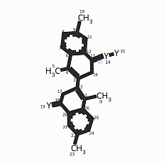 CC1=C(C2=C(C)c3ccc(C)cc3/[C](=[Y]\[Y])C2)C[C](=[Y])c2cc(C)ccc21